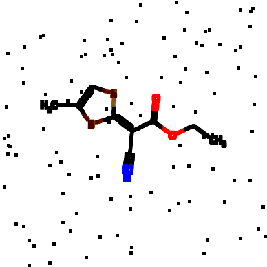 CCOC(=O)C(C#N)=C1SC=C(C)S1